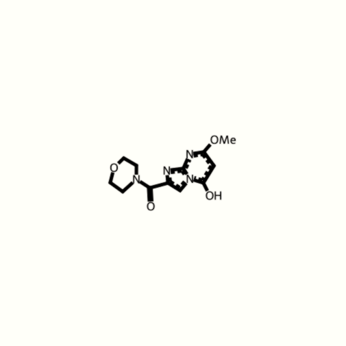 COc1cc(O)n2cc(C(=O)N3CCOCC3)nc2n1